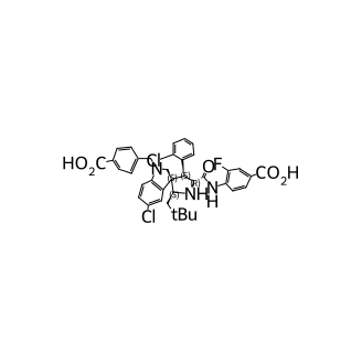 CC(C)(C)C[C@@H]1N[C@@H](C(=O)Nc2ccc(C(=O)O)cc2F)[C@H](c2ccccc2Cl)[C@]12CN(Cc1ccc(C(=O)O)cc1)c1ccc(Cl)cc12